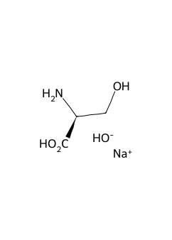 N[C@@H](CO)C(=O)O.[Na+].[OH-]